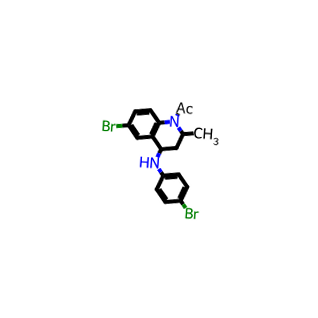 CC(=O)N1c2ccc(Br)cc2C(Nc2ccc(Br)cc2)CC1C